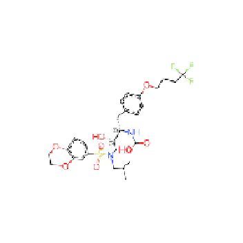 CC(C)CN(C[C@H](O)[C@H](Cc1ccc(OCCCC(F)(F)F)cc1)NC(=O)O)S(=O)(=O)c1ccc2c(c1)OCCO2